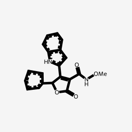 CONC(=O)C1=C(c2cc3ccccc3[nH]2)C(c2ccccc2)OC1=O